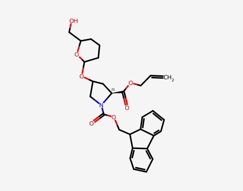 C=CCOC(=O)[C@@H]1CC(OC2CCCC(CO)O2)CN1C(=O)OCC1c2ccccc2-c2ccccc21